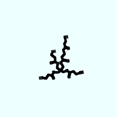 O=C(CCS)OCC(COC(=O)CCS)(COC(=O)CCS)COC(=O)CCSC(=O)CCS